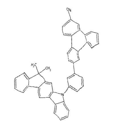 CC1(C)c2ccccc2-c2cc3c4ccccc4n(-c4cccc(-c5ccc6c7ccc(C#N)cc7c7ccccc7c6c5)c4)c3cc21